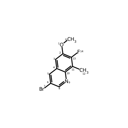 COc1cc2cc(Br)cnc2c(C)c1F